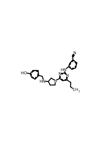 CCCc1cc(N2CCC(NCc3ccc(O)cc3)C2)nc(Nc2cccc(C#N)c2)n1